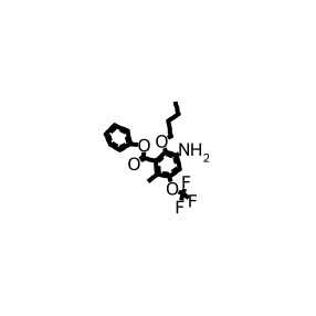 CCCCOc1c(N)cc(OC(F)(F)F)c(C)c1C(=O)Oc1ccccc1